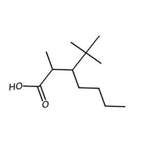 CCCCC(C(C)C(=O)O)C(C)(C)C